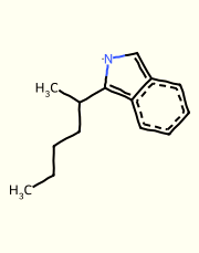 CCCCC(C)C1=c2ccccc2=C[N]1